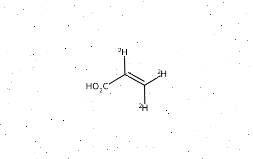 [2H]C([2H])=C([2H])C(=O)O